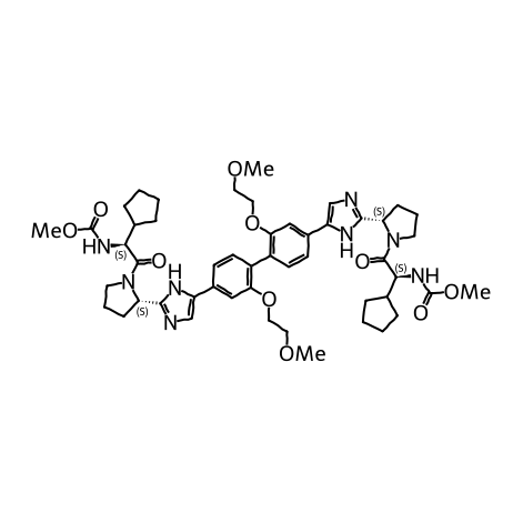 COCCOc1cc(-c2cnc([C@@H]3CCCN3C(=O)[C@@H](NC(=O)OC)C3CCCC3)[nH]2)ccc1-c1ccc(-c2cnc([C@@H]3CCCN3C(=O)[C@@H](NC(=O)OC)C3CCCC3)[nH]2)cc1OCCOC